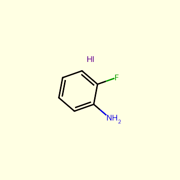 I.Nc1ccccc1F